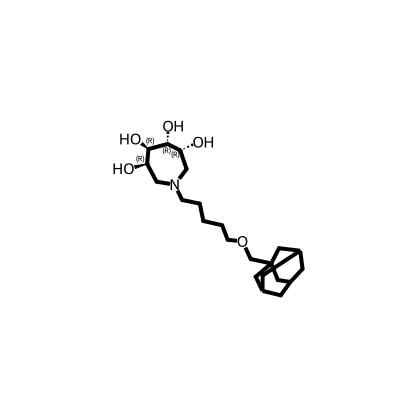 O[C@H]1[C@H](O)[C@H](O)CN(CCCCCOCC23CC4CC(CC(C4)C2)C3)C[C@H]1O